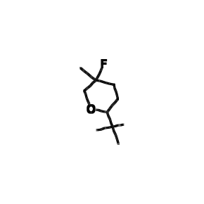 CC1(F)CCC(C(C)(C)C)OC1